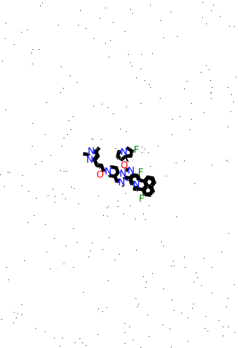 C#Cc1c(F)ccc2cccc(-c3ncc4c(/[N+](C)=C\C5CCCN(C(=O)/C=C/c6cc(C)nc(C)n6)C5)nc(OC[C@@]56CCCN5C[C@H](F)C6)nc4c3F)c12